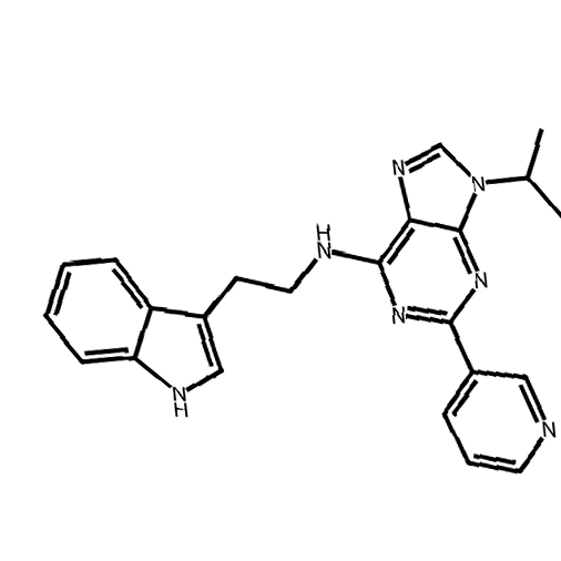 CC(C)n1cnc2c(NCCc3c[nH]c4ccccc34)nc(-c3cccnc3)nc21